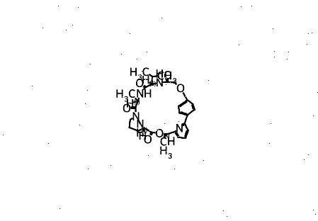 CC(C)[C@@H]1NC(=O)COc2ccc(cc2)-c2cccc(n2)[C@@H](C)OC(=O)[C@@H]2CCCN(N2)C(=O)[C@H](C)NC1=O